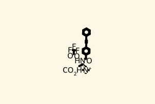 C[N+](C)(C)C[C@@H](CC(=O)O)NC(=O)c1ccc(C#Cc2ccccc2)cc1.O=C([O-])C(F)(F)F